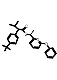 CC(C)C(C(=O)S[C@@H](C)c1cccc(Oc2ccccc2)n1)c1ccc(C(C)(C)C)cc1